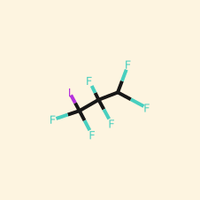 FC(F)C(F)(F)C(F)(F)I